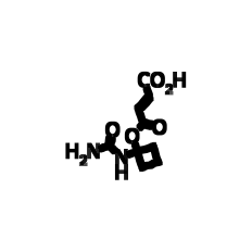 NC(=O)NC1(OC(=O)/C=C/C(=O)O)CCC1